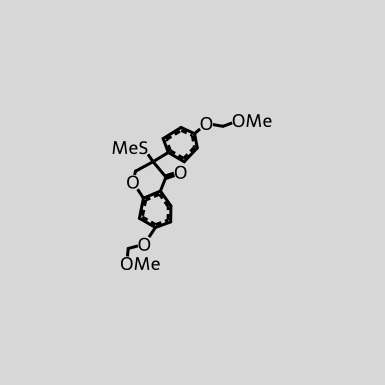 COCOc1ccc(C2(SC)COc3cc(OCOC)ccc3C2=O)cc1